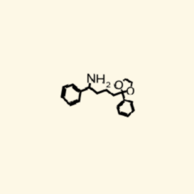 NC(CCCC1(c2ccccc2)OCCO1)c1ccccc1